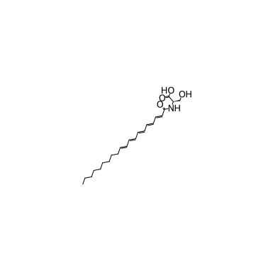 CCCCCCCCC/C=C/C=C/C=C/C=C/C=C/C(=O)N[C@H](CO)C(=O)O